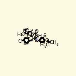 CC(C)Oc1ccc(/N=c2\[nH]c(=O)n(Cc3cc(O)no3)c(=O)n2Cc2ccc(Cl)cc2)cc1F